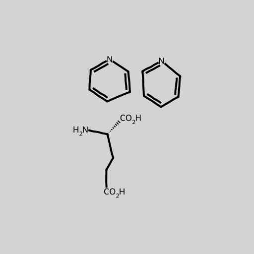 N[C@@H](CCC(=O)O)C(=O)O.c1ccncc1.c1ccncc1